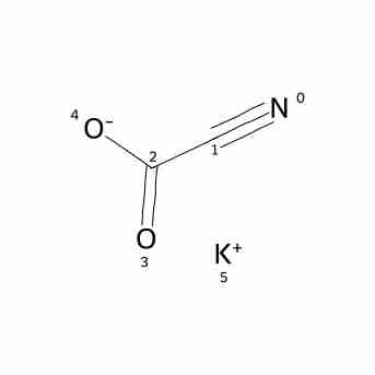 N#CC(=O)[O-].[K+]